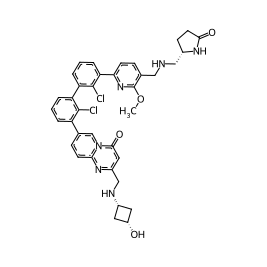 COc1nc(-c2cccc(-c3cccc(-c4ccc5nc(CN[C@H]6C[C@@H](O)C6)cc(=O)n5c4)c3Cl)c2Cl)ccc1CNC[C@@H]1CCC(=O)N1